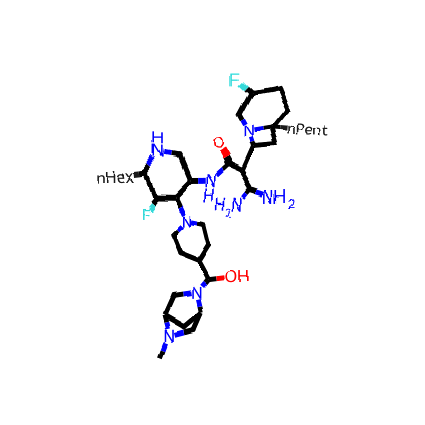 CCCCCCC1NCC(NC(=O)C(C(N)N)C2CC3(CCCCC)CCC(F)CN23)C(N2CCC(C(O)N3CC4CC3CN4C)CC2)C1F